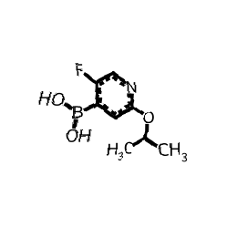 CC(C)Oc1cc(B(O)O)c(F)cn1